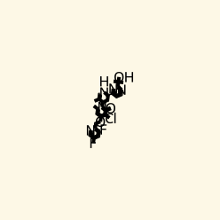 CC1=CN[C@@H](c2ccnc(C(C)(C)O)n2)CC1n1c(C)cc(OCc2ncc(F)cc2F)c(Cl)c1=O